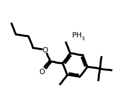 CCCCOC(=O)c1c(C)cc(C(C)(C)C)cc1C.P